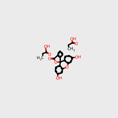 CCC(=O)O.CCC(=O)O.O=C1OC2(c3ccc(O)cc3Oc3cc(O)ccc32)c2ccccc21